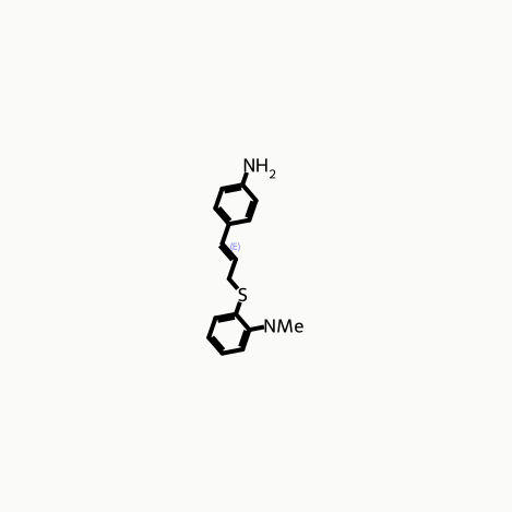 CNc1ccccc1SC/C=C/c1ccc(N)cc1